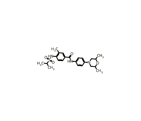 Cc1cc(C(=O)Nc2ccc(N3CC(C)OC(C)C3)cc2)ccc1NS(=O)(=O)C(C)C